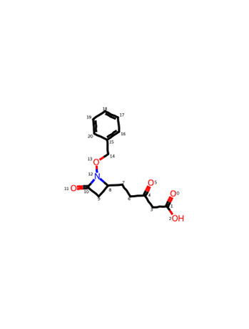 O=C(O)CC(=O)CCC1CC(=O)N1OCc1ccccc1